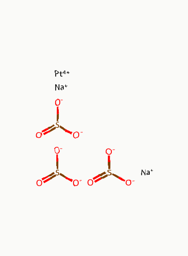 O=S([O-])[O-].O=S([O-])[O-].O=S([O-])[O-].[Na+].[Na+].[Pt+4]